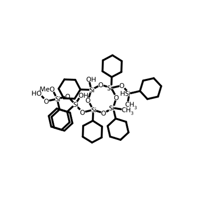 CO[Si](OO)(O[Si](O)(O[Si]1(C2CCCCC2)O[Si](C)(C2CCCCC2)O[Si](O[SiH](C)C2CCCCC2)(C2CCCCC2)O[Si](O)(C2CCCCC2)O1)C1CCCCC1)C1CCCCC1